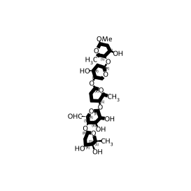 CO[C@@H]1C[C@@H](O)[C@H](O[C@@H]2C[C@@H](O)[C@H](O[C@@H]3CC[C@H](O[C@@H]4O[C@@H](C=O)[C@@H](O[C@@H]5C[C@@H](O)[C@H](O)[C@H](C)O5)[C@H](O)C4O)C(C)O3)CO2)C(C)O1